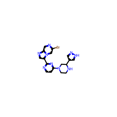 Brc1cn2c(-c3nccc(N4CCNC(c5cn[nH]c5)C4)n3)cnc2cn1